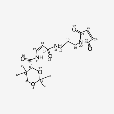 CC1(C)OCC(C)(C)[C@H](C(=O)N/C=C\C(=O)NCCCN2C(=O)C=CC2=O)O1